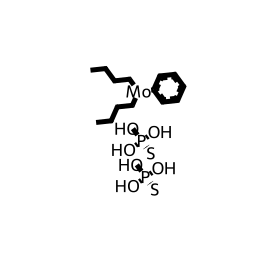 CCC[CH2][Mo]([CH2]CCC)[c]1ccccc1.OP(O)(O)=S.OP(O)(O)=S